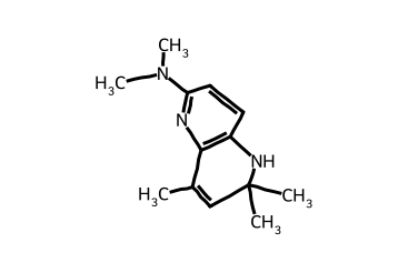 CC1=CC(C)(C)Nc2ccc(N(C)C)nc21